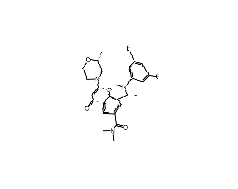 C[C@@H]1CN(c2cc(=O)c3cc(C(=O)N(C)C)cc([C@H](C)N(C)c4cc(F)cc(F)c4)c3o2)CCO1